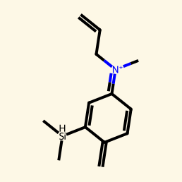 C=CC/[N+](C)=C1/C=CC(=C)C([SiH](C)C)=C1